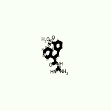 CS(=O)(=O)c1cccc(/C=C(/C(=O)NC(=N)N)c2cccnc2)c1